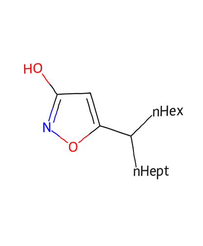 CCCCCCCC(CCCCCC)c1cc(O)no1